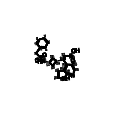 O=S(=O)(Cc1ccccc1)N[C@H]1C[C@@H](C2=CB(O)Oc3cnc4[nH]ccc4c32)C1